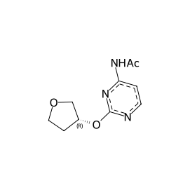 CC(=O)Nc1ccnc(O[C@@H]2CCOC2)n1